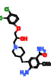 COc1cc(N)c(CC2CCN(CC(O)COc3ccc(Cl)c(Cl)c3)CC2)cc1C(N)=O